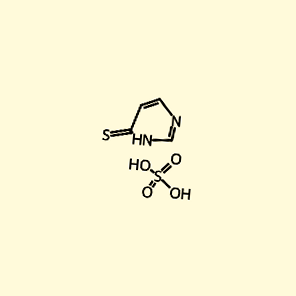 O=S(=O)(O)O.S=c1ccnc[nH]1